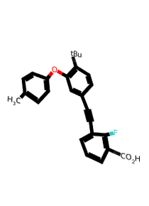 Cc1ccc(Oc2cc(C#Cc3cccc(C(=O)O)c3F)ccc2C(C)(C)C)cc1